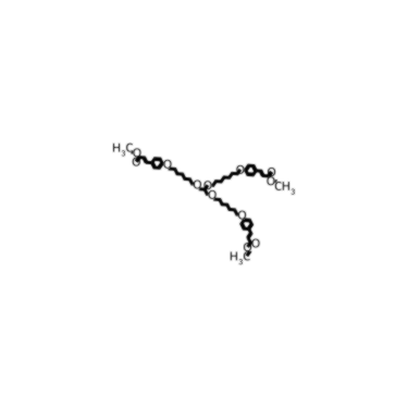 CCOC(=O)C=Cc1ccc(OCCCCCCCOCC(COCCCCCCCOc2ccc(C=CC(=O)OCC)cc2)OCCCCCCCOc2ccc(C=CC(=O)OCC)cc2)cc1